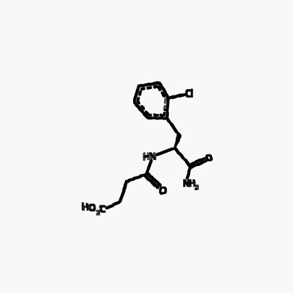 NC(=O)[C@H](Cc1ccccc1Cl)NC(=O)CCC(=O)O